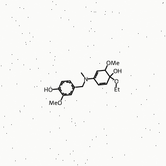 CCOC1(O)C=CC(N(C)Cc2ccc(O)c(OC)c2)=CC1OC